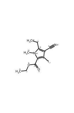 CCOC(=O)c1c(I)c(C#N)c(CC)n1C